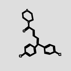 O=C(C=CC=C(c1ccc(Cl)cc1)c1ccc(Cl)cc1)N1CCSCC1